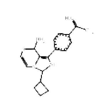 C=C(C)c1ccc(C2=C3C(N)NC=CN3C(C3CCC3)N2)cc1